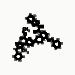 CCOC(=O)c1nc(N2CCc3c(OCc4ccccc4)ccc(C(=O)Nc4nc5ccccc5s4)c3C2)ccc1-c1cnn(CC2CCCCC2)c1C